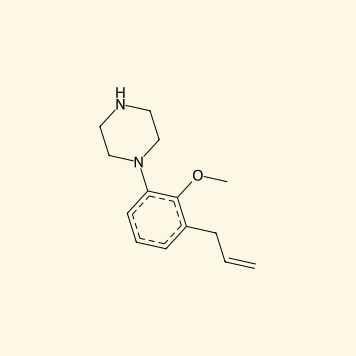 C=CCc1cccc(N2CCNCC2)c1OC